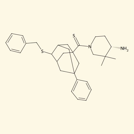 CC1(C)CN(C(=S)C23CC4CC(c5ccccc5)(CC(C2)C4SCc2ccccc2)C3)CC[C@@H]1N